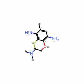 Cc1cc(N)c2c(c1N)SC(N(C)C)CO2